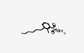 CCCCCCc1cccc(S(N)(=O)=O)c1C